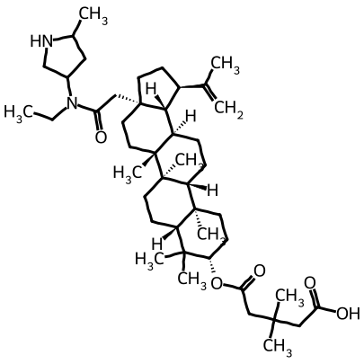 C=C(C)[C@@H]1CC[C@]2(CC(=O)N(CC)C3CNC(C)C3)CC[C@]3(C)[C@H](CC[C@@H]4[C@@]5(C)CC[C@H](OC(=O)CC(C)(C)CC(=O)O)C(C)(C)[C@@H]5CC[C@]43C)[C@@H]12